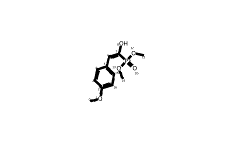 COc1ccc(C=C(O)P(=O)(OC)OC)cc1